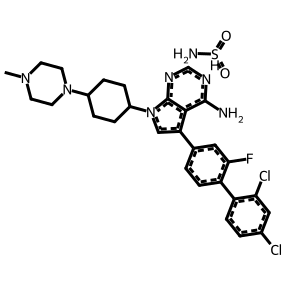 CN1CCN(C2CCC(n3cc(-c4ccc(-c5ccc(Cl)cc5Cl)c(F)c4)c4c(N)ncnc43)CC2)CC1.N[SH](=O)=O